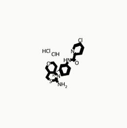 Cl.Cl.NC1=N[C@]2(c3cccc(NC(=O)c4ccc(Cl)cn4)c3)CCOCC2CS1